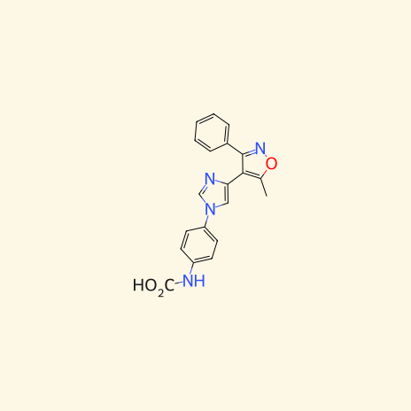 Cc1onc(-c2ccccc2)c1-c1cn(-c2ccc(NC(=O)O)cc2)cn1